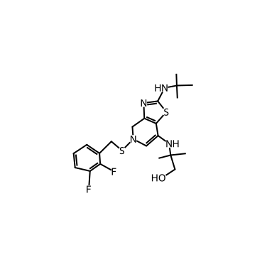 CC(C)(C)Nc1nc2c(s1)C(NC(C)(C)CO)=CN(SCc1cccc(F)c1F)C2